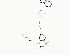 CCCC(=O)OCN1C(=O)CC(C)(C)c2ccc(OCCCCN3CCN(c4cccc5sccc45)CC3)cc21